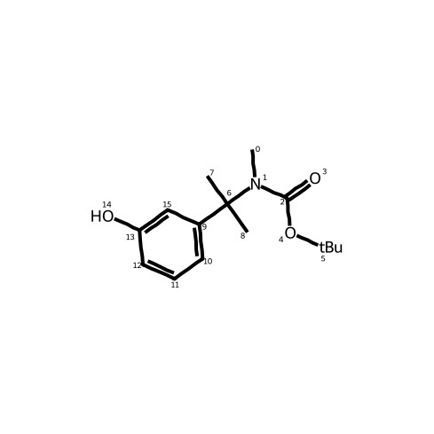 CN(C(=O)OC(C)(C)C)C(C)(C)c1cccc(O)c1